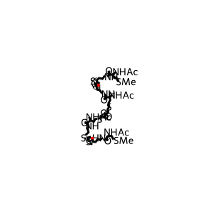 CSCCC(NC(C)=O)C(=O)NCCC[Si](C)(C)O[Si](C)(C)CCCNC(=O)C(CCSCCS(=O)(=O)CCSCCC(NC(C)=O)C(=O)NCCC[Si](C)(C)O[Si](C)(C)CCCNC(=O)C(CCSC)NC(C)=O)NC(C)=O